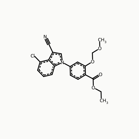 CCOC(=O)c1ccc(-n2cc(C#N)c3c(Cl)cccc32)cc1OCOC